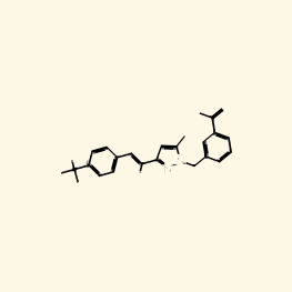 C=C(C)c1cccc(Cn2nc(C(F)=Cc3ccc(C(C)(C)C(F)(F)F)cc3)cc2C)c1